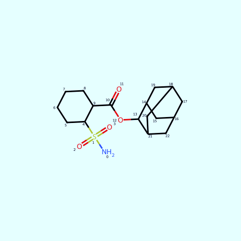 NS(=O)(=O)C1CCCCC1C(=O)OC1C2CC3CC(C2)CC1C3